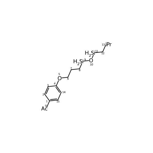 CC(=O)c1ccc(OCCC[SiH2]O[SiH2]CC(C)C)cc1